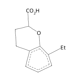 CCc1cccc2c1OC(C(=O)O)CC2